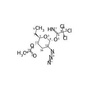 CC[C@H]1O[C@H](OC(=N)C(Cl)(Cl)Cl)C(N=[N+]=[N-])C[C@@H]1OC(C)=O